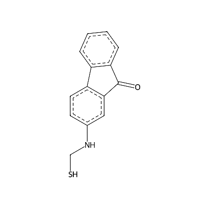 O=C1c2ccccc2-c2ccc(NCS)cc21